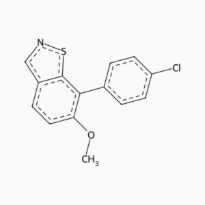 COc1ccc2cnsc2c1-c1ccc(Cl)cc1